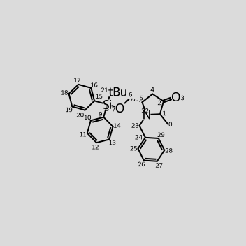 CC1C(=O)C[C@@H](CO[Si](c2ccccc2)(c2ccccc2)C(C)(C)C)N1Cc1ccccc1